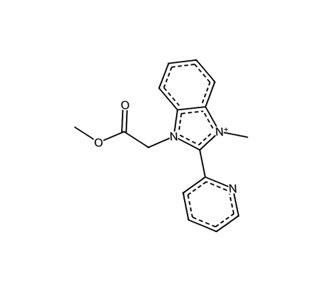 COC(=O)Cn1c(-c2ccccn2)[n+](C)c2ccccc21